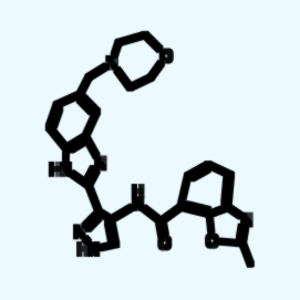 Cc1nc2cccc(C(=O)Nc3c[nH]nc3-c3nc4cc(CN5CCOCC5)ccc4[nH]3)c2o1